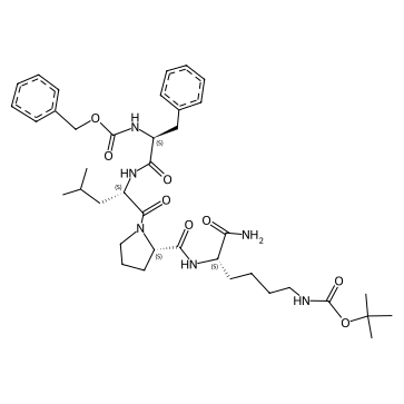 CC(C)C[C@H](NC(=O)[C@H](Cc1ccccc1)NC(=O)OCc1ccccc1)C(=O)N1CCC[C@H]1C(=O)N[C@@H](CCCCNC(=O)OC(C)(C)C)C(N)=O